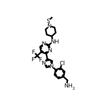 CSN1CCC(Nc2ncc(C(F)(F)F)c(-c3cn(-c4ccc(CN)cc4Cl)cn3)n2)CC1